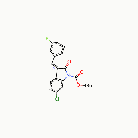 CC(C)(C)OC(=O)N1C(=O)/C(=C\c2cccc(F)c2)c2ccc(Cl)cc21